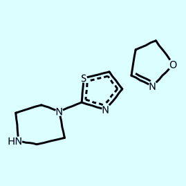 C1=NOCC1.c1csc(N2CCNCC2)n1